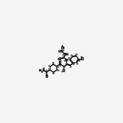 CCNNC(=O)n1c(C(=O)NC2[CH]CC(C(N)=O)CC2)cc2cc(Cl)ccc21